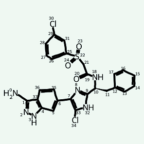 Nc1n[nH]c2cc(-c3nc([C@H](Cc4ccccc4)NC(=O)CS(=O)(=O)c4cccc(Cl)c4)[nH]c3Cl)ccc12